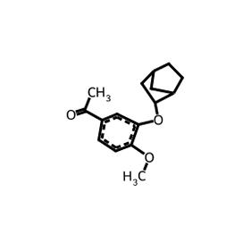 COc1ccc(C(C)=O)cc1OC1CC2CCC1C2